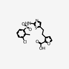 Cc1c(Cl)cccc1S(=O)(=O)Nc1ncc(CCc2ccoc2C(=O)O)s1